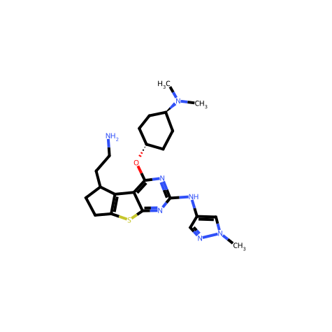 Cn1cc(Nc2nc(O[C@H]3CC[C@H](N(C)C)CC3)c3c4c(sc3n2)CCC4CCN)cn1